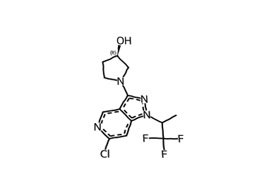 CC(n1nc(N2CC[C@@H](O)C2)c2cnc(Cl)cc21)C(F)(F)F